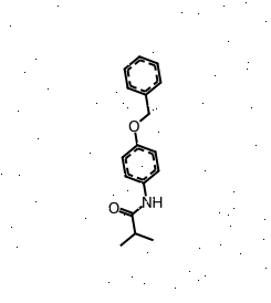 CC(C)C(=O)Nc1ccc(OCc2ccccc2)cc1